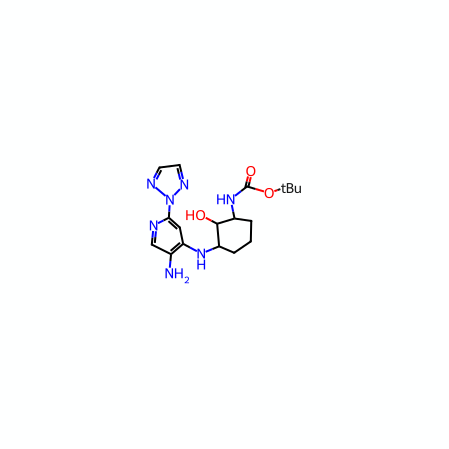 CC(C)(C)OC(=O)NC1CCCC(Nc2cc(-n3nccn3)ncc2N)C1O